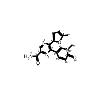 Cc1ccc(-c2ncc(C(N)=O)nc2-c2ccc(=O)n(C)c2)o1